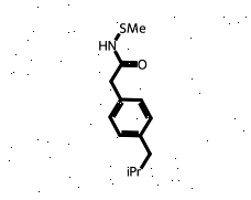 CSNC(=O)Cc1ccc(CC(C)C)cc1